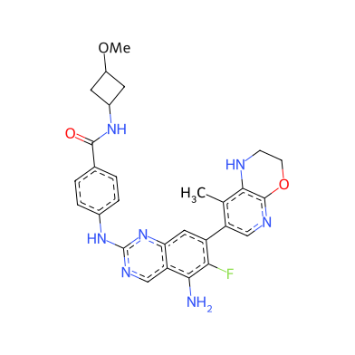 COC1CC(NC(=O)c2ccc(Nc3ncc4c(N)c(F)c(-c5cnc6c(c5C)NCCO6)cc4n3)cc2)C1